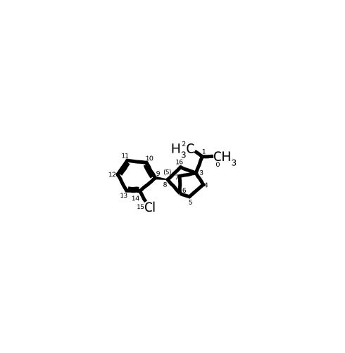 CC(C)C12CCC(C1)[C@@H](c1ccccc1Cl)C2